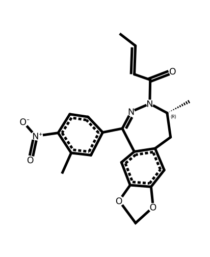 CC=CC(=O)N1N=C(c2ccc([N+](=O)[O-])c(C)c2)c2cc3c(cc2C[C@H]1C)OCO3